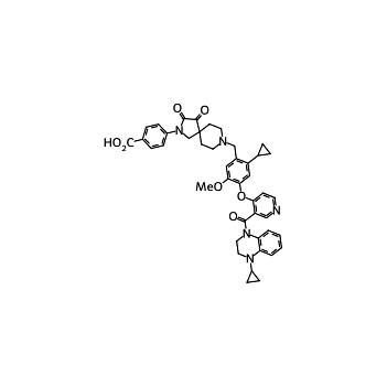 COc1cc(CN2CCC3(CC2)CN(c2ccc(C(=O)O)cc2)C(=O)C3=O)c(C2CC2)cc1Oc1ccncc1C(=O)N1CCN(C2CC2)c2ccccc21